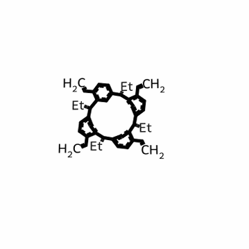 C=Cc1ccc2cc1C(CC)c1ccc(C=C)c(c1)C(CC)c1ccc(C=C)c(c1)C(CC)c1ccc(C=C)c(c1)C2CC